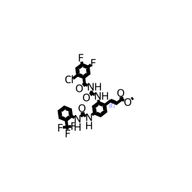 COC(=O)/C=C/c1ccc(NC(=O)Nc2ccccc2C(F)(F)F)cc1NC(=O)NC(=O)c1cc(F)c(F)cc1Cl